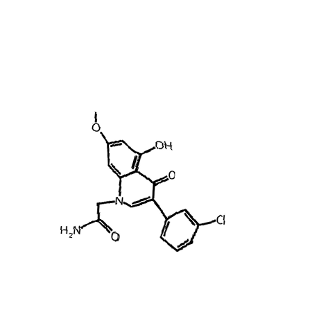 COc1cc(O)c2c(=O)c(-c3cccc(Cl)c3)cn(CC(N)=O)c2c1